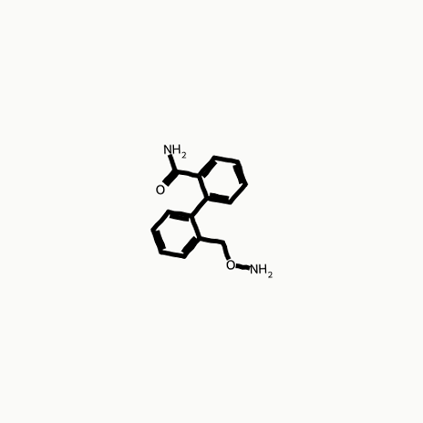 NOCc1ccccc1-c1ccccc1C(N)=O